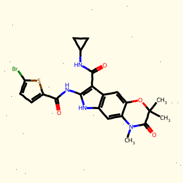 CN1C(=O)C(C)(C)Oc2cc3c(C(=O)NC4CC4)c(NC(=O)c4ccc(Br)s4)[nH]c3cc21